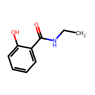 [CH2]CNC(=O)c1ccccc1O